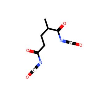 CC(CCC(=O)N=C=O)C(=O)N=C=O